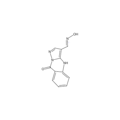 O=c1c2ccccc2[nH]c2c(/C=N/O)cnn12